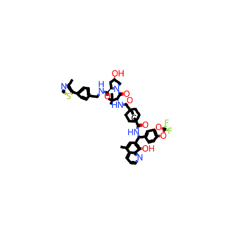 Cc1ncsc1-c1ccc(CNC(=O)[C@H]2C[C@H](O)CN2C(=O)[C@H](NC(=O)C23CCC(C(=O)NC(c4ccc5c(c4)OC(F)(F)O5)c4cc(C)c5cccnc5c4O)(CC2)CC3)C(C)(C)C)cc1